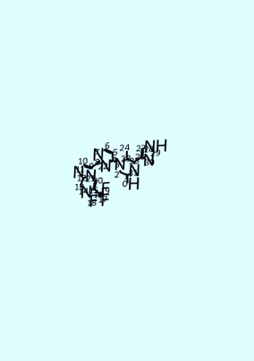 CC1CN(c2ccnc(-c3cnc4cnc(C(F)(F)F)cn34)n2)C(C)C(c2c[nH]cn2)N1